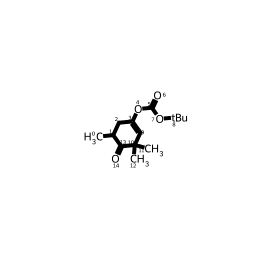 CC1CC(OC(=O)OC(C)(C)C)=CC(C)(C)C1=O